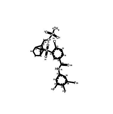 CS(=O)(=O)OCC1CC2CCC1[C@@H]2S(=O)(=O)c1cc(C(=O)Nc2cc(F)c(F)c(F)c2)ccc1Cl